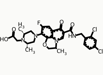 C[C@@H]1CN(c2c(F)cc3c(=O)c(C(=O)NCc4ccc(Cl)cc4Cl)cn4c3c2OC[C@@H]4C)C[C@H](C)N1CC(=O)O